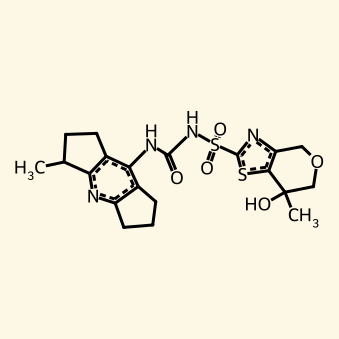 CC1CCc2c1nc1c(c2NC(=O)NS(=O)(=O)c2nc3c(s2)C(C)(O)COC3)CCC1